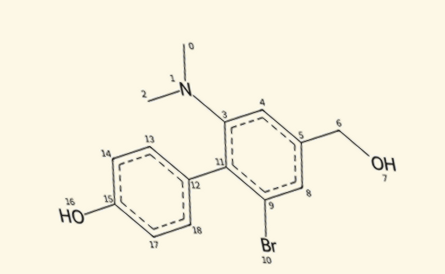 CN(C)c1cc(CO)cc(Br)c1-c1ccc(O)cc1